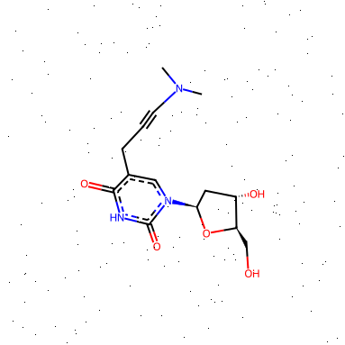 CN(C)C#CCc1cn([C@H]2C[C@H](O)[C@@H](CO)O2)c(=O)[nH]c1=O